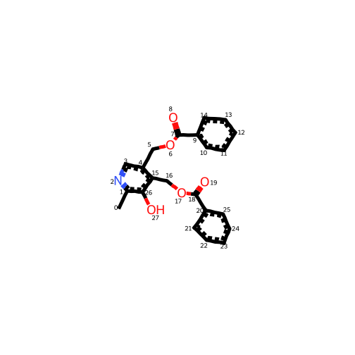 Cc1ncc(COC(=O)c2ccccc2)c(COC(=O)c2ccccc2)c1O